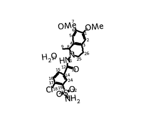 COc1cc2c(cc1OC)C(C)N(NC(=O)c1ccc(Cl)c(S(N)(=O)=O)c1)CC2.O